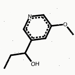 CCC(O)c1cncc(OC)c1